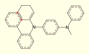 CN(c1ccccc1)c1ccc(N(C2=CCCC=C2)c2ccccc2-c2ccccc2)cc1